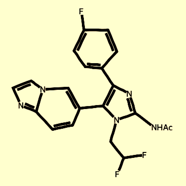 CC(=O)Nc1nc(-c2ccc(F)cc2)c(-c2ccc3nccn3c2)n1CC(F)F